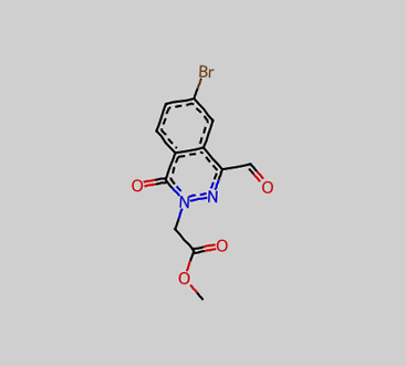 COC(=O)Cn1nc(C=O)c2cc(Br)ccc2c1=O